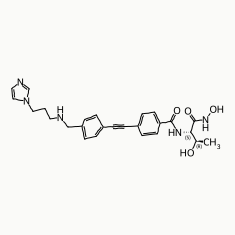 C[C@@H](O)[C@H](NC(=O)c1ccc(C#Cc2ccc(CNCCCn3ccnc3)cc2)cc1)C(=O)NO